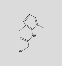 CC(=O)CC(=O)Nc1c(C)cccc1C